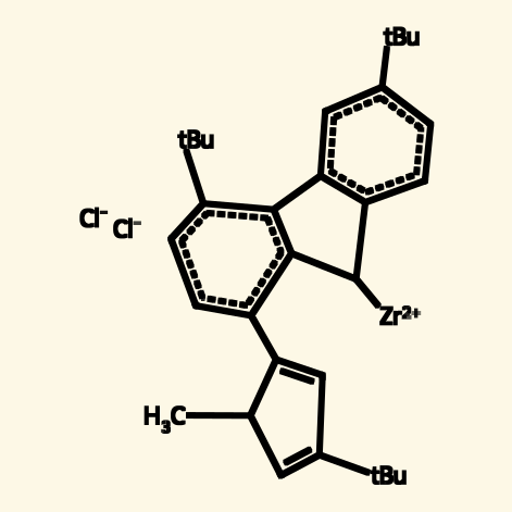 CC1C=C(C(C)(C)C)C=C1c1ccc(C(C)(C)C)c2c1[CH]([Zr+2])c1ccc(C(C)(C)C)cc1-2.[Cl-].[Cl-]